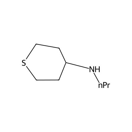 CCCNC1CCSCC1